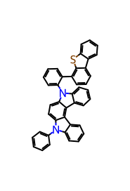 c1ccc(-n2c3ccccc3c3c4c5ccccc5n(-c5ccccc5-c5cccc6c5sc5ccccc56)c4ccc32)cc1